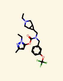 CCN1CC2C(C1)C2CN(Cc1cccc(OC(F)(F)F)c1)C(=O)Oc1cc(C)nn1CC